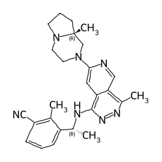 Cc1c(C#N)cccc1[C@@H](C)Nc1nnc(C)c2cnc(N3CCN4CCC[C@]4(C)C3)cc12